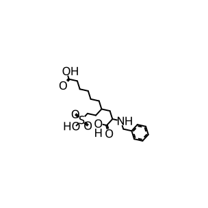 O=C(O)CCCCCC(CCS(=O)(=O)O)CC(NCc1ccccc1)C(=O)O